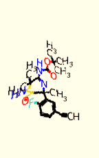 C#Cc1ccc(F)c([C@]2(C)CS(=N)(=O)C(C)(C)C(NC(=O)OC(C)(C)C)=N2)c1